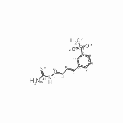 CS(=O)(=O)c1cccc(/C=C/C=N/NC(N)=S)c1